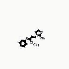 Cl.N=C1SCCN1CCC(Cl)Sc1ccccc1